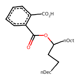 CCCCCCCCCCCCC(CCCCCCCC)OC(=O)c1ccccc1C(=O)O